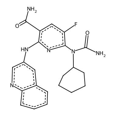 NC(=O)c1cc(F)c(N(C(N)=O)C2CCCCC2)nc1Nc1cnc2ccccc2c1